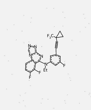 CCN(c1cc(F)cc(C#CC2(C(F)(F)F)CC2)c1)c1nc2nncn2c2ccc(F)c(F)c12